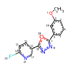 COc1cccc(-c2nnc(-c3ccc(F)nc3)o2)c1